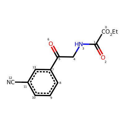 CCOC(=O)C(=O)NCC(=O)c1cccc(C#N)c1